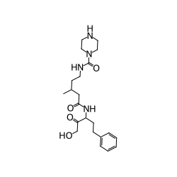 CC(CCNC(=O)N1CCNCC1)CC(=O)NC(CCc1ccccc1)C(=O)CO